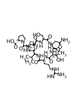 C#CC(=O)N[C@@H](CO)C(=O)N[C@@H](CC(N)=O)C(=O)N[C@H](C(=O)N[C@@H](CCCNC(=N)N)C(=O)N[C@H](C(=O)N[C@@H](C)C(=O)N1CCC[C@H]1C(=O)O)C(C)C)[C@@H](C)O